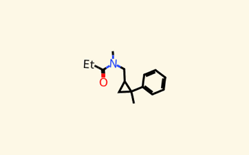 CCC(=O)N(C)CC1CC1(C)c1ccccc1